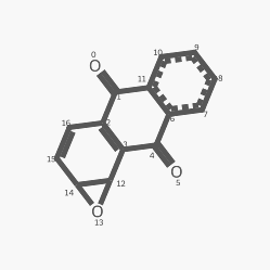 O=C1C2=C(C(=O)c3ccccc31)C1OC1C=C2